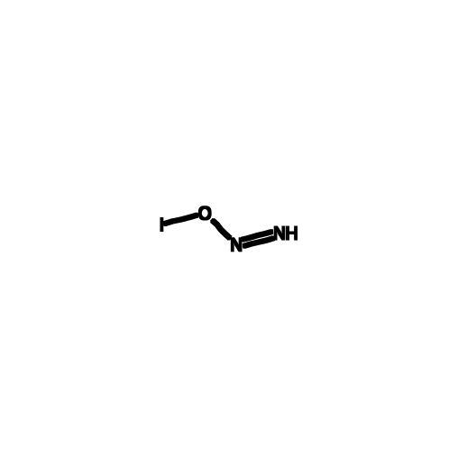 N=NOI